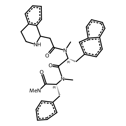 CNC(=O)[C@@H](Cc1ccccc1)N(C)C(=O)[C@@H](Cc1ccc2ccccc2c1)N(C)C(=O)CC1NCCc2ccccc21